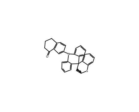 O=C1CCCc2ccc(N3c4ccccc4C4(c5ccccc5Sc5ccccc54)c4ccccc43)cc21